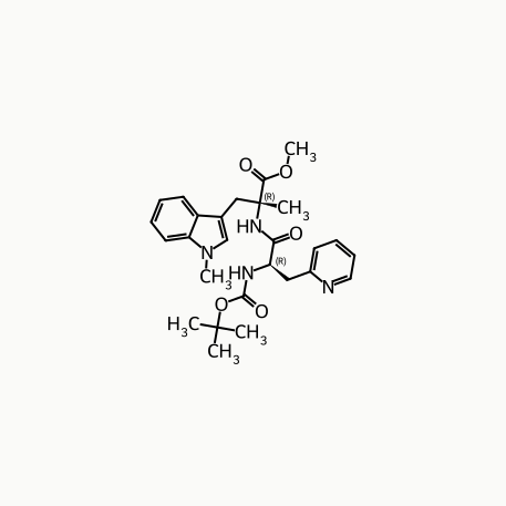 COC(=O)[C@@](C)(Cc1cn(C)c2ccccc12)NC(=O)[C@@H](Cc1ccccn1)NC(=O)OC(C)(C)C